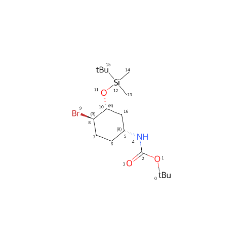 CC(C)(C)OC(=O)N[C@@H]1CC[C@@H](Br)[C@H](O[Si](C)(C)C(C)(C)C)C1